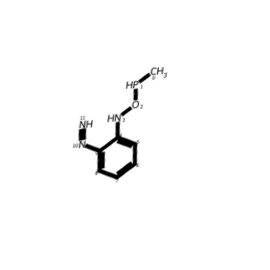 CPONc1ccccc1N=N